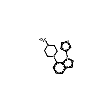 O=C(O)N1CCN(c2cccc3ccn(-c4ccsc4)c23)CC1